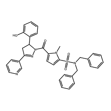 Cn1c(C(=O)N2N=C(c3cccnc3)CC2c2ccccc2O)ccc1S(=O)(=O)N(Cc1ccccc1)Cc1ccccc1